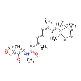 CC1=C(/C=C/C(C)=C\C=C\C(C)=C\C(=O)N(C)CC(=O)C2(C)COC2)C(C)(C)CCC1